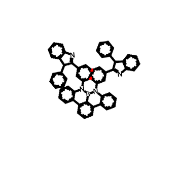 c1ccc(C2C(c3cccc(N4B5c6c(cccc6-c6ccccc6N5c5cccc(C6=Nc7ccccc7C6c6ccccc6)c5)-c5ccccc54)c3)=Nc3ccccc32)cc1